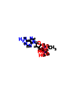 COP(=O)(O[C@H]1O[C@@H](n2cnc3c(N)ncnc32)C[C@@H]1O)OP(=O)(O)O